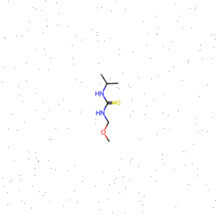 COCNC(=S)NC(C)C